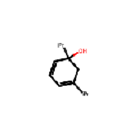 CC(C)C1=CC=CC(O)(C(C)C)C1